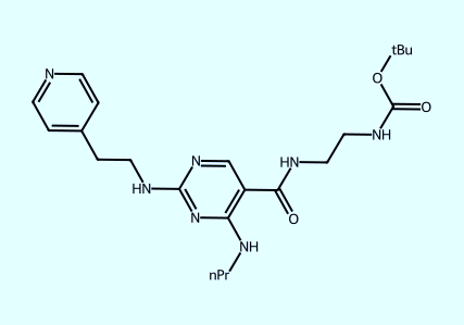 CCCNc1nc(NCCc2ccncc2)ncc1C(=O)NCCNC(=O)OC(C)(C)C